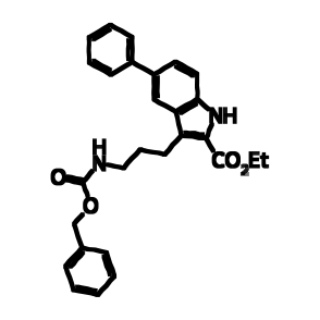 CCOC(=O)c1[nH]c2ccc(-c3ccccc3)cc2c1CCCNC(=O)OCc1ccccc1